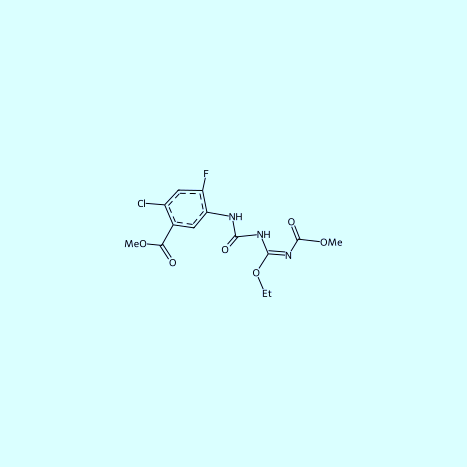 CCO/C(=N/C(=O)OC)NC(=O)Nc1cc(C(=O)OC)c(Cl)cc1F